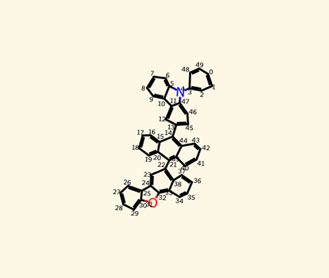 c1ccc(-n2c3ccccc3c3cc(-c4c5ccccc5c(-c5cc6c7ccccc7oc6c6ccccc56)c5ccccc45)ccc32)cc1